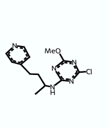 COc1nc(Cl)nc(NC(C)CCc2ccncc2)n1